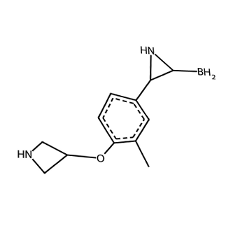 BC1NC1c1ccc(OC2CNC2)c(C)c1